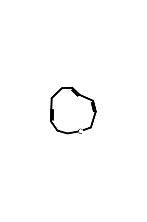 [CH]1C/C=C/CC/C=C/C=C\CC1